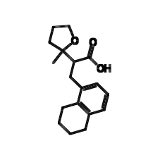 CC1(C(Cc2cccc3c2CCCC3)C(=O)O)CCCO1